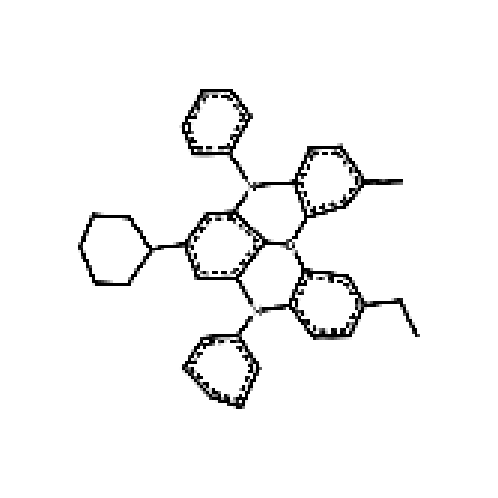 CCc1ccc2c(c1)B1c3cc(C)ccc3N(c3ccccc3)c3cc(C4CCCCC4)cc(c31)N2c1ccccc1